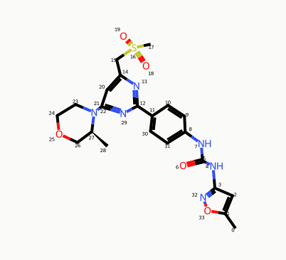 Cc1cc(NC(=O)Nc2ccc(-c3nc(CS(C)(=O)=O)cc(N4CCOC[C@@H]4C)n3)cc2)no1